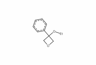 CCOC1(c2c[c]ccc2)COC1